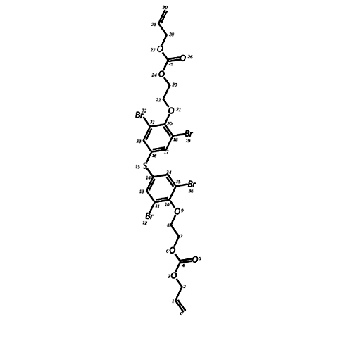 C=CCOC(=O)OCCOc1c(Br)cc(Sc2cc(Br)c(OCCOC(=O)OCC=C)c(Br)c2)cc1Br